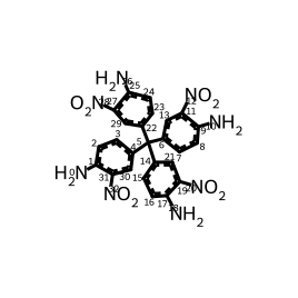 Nc1ccc(C(c2ccc(N)c([N+](=O)[O-])c2)(c2ccc(N)c([N+](=O)[O-])c2)c2ccc(N)c([N+](=O)[O-])c2)cc1[N+](=O)[O-]